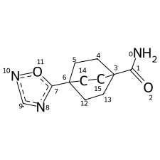 NC(=O)C12CCC(c3n[c]no3)(CC1)CC2